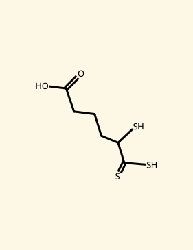 O=C(O)CCCC(S)C(=S)S